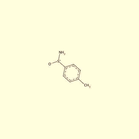 Cc1ccc([S+](N)[O-])cc1